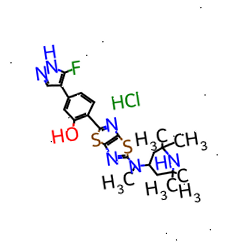 CN(c1nc2sc(-c3ccc(-c4cn[nH]c4F)cc3O)nc2s1)C1CC(C)(C)NC(C)(C)C1.Cl